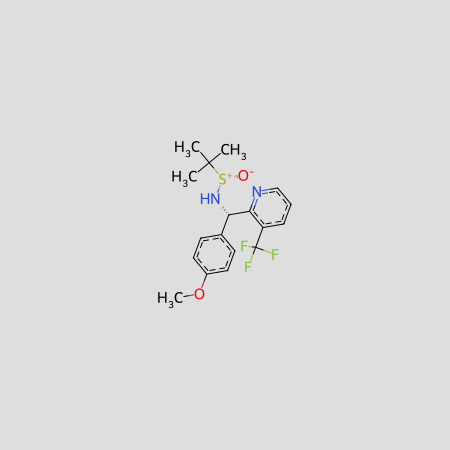 COc1ccc([C@H](N[S@@+]([O-])C(C)(C)C)c2ncccc2C(F)(F)F)cc1